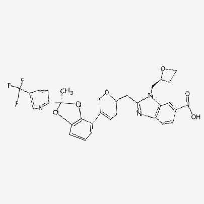 C[C@@]1(c2ccc(C(F)(F)F)cn2)Oc2cccc(C3=CCC(Cc4nc5ccc(C(=O)O)cc5n4C[C@@H]4CCO4)OC3)c2O1